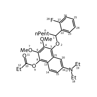 CCCCCC(Oc1c(OC)c(OC)c(OC(=O)CC)c2ccc(N(CC)CC)cc12)c1ccccc1F